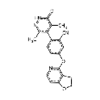 Cc1n[nH]c(=O)c(C)c1-c1ccc(Oc2nccc3c2CCO3)cc1C#N